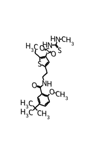 CCc1sc(CCNC(=O)c2cc(C(C)(C)C)ccc2OC)cc1S(=O)(=O)NC(=S)NC